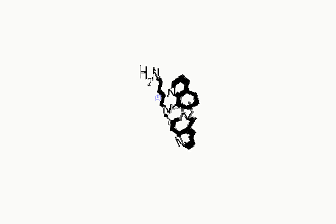 NC/C=C/CN(C[C@H]1Cc2ncccc2CN1)[C@H]1CCCc2cccnc21